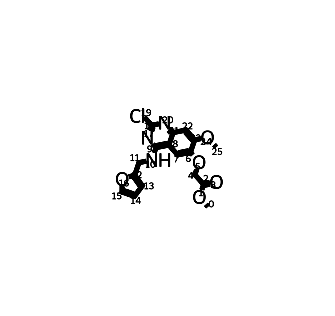 COC(=O)COc1cc2c(NCc3ccco3)nc(Cl)nc2cc1OC